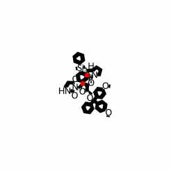 COc1ccc(C(OC[C@H]2O[C@@H](n3c(=O)cc[nH]c3=O)C[C@@H]2O[P@@]2O[C@H](C[Si](C)(c3ccccc3)c3ccccc3)[C@@H]3CCCN32)(c2ccccc2)c2ccc(OC)cc2)cc1